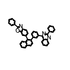 c1ccc(-c2nc(-c3cccc(-c4ccc5ccccc5c4-c4ccc5nc(-c6ccccc6)oc5c4)c3)c3ccccc3n2)cc1